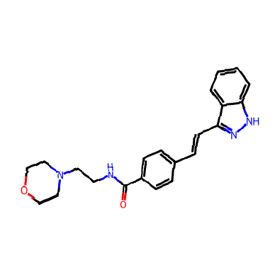 O=C(NCCN1CCOCC1)c1ccc(/C=C/c2n[nH]c3ccccc23)cc1